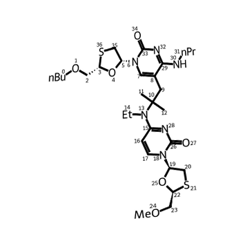 CCCCOC[C@H]1O[C@@H](n2cc(CC(C)(C)N(CC)c3ccn([C@H]4CS[C@@H](COC)O4)c(=O)n3)c(NCCC)nc2=O)CS1